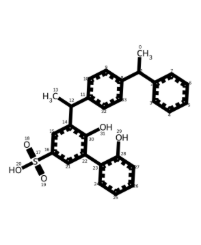 CC(c1ccccc1)c1ccc(C(C)c2cc(S(=O)(=O)O)cc(-c3ccccc3O)c2O)cc1